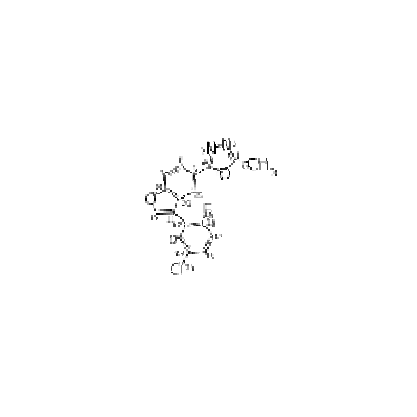 Cc1nnc(-c2ccc3occ(-c4cc(Cl)ccc4F)c3c2)o1